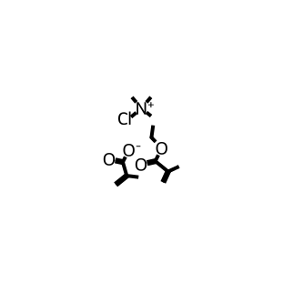 C=C(C)C(=O)OCC.C=C(C)C(=O)[O-].C[N+](C)(C)Cl